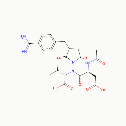 CC(=O)N[C@@H](CC(=O)O)C(=O)N([C@H](C(=O)O)C(C)C)N1C(=O)CC(Cc2ccc(C(=N)N)cc2)C1=O